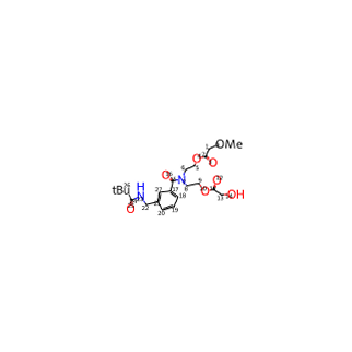 COCC(=O)OCCN(CCOC(=O)CO)C(=O)c1cccc(CNC(=O)C(C)(C)C)c1